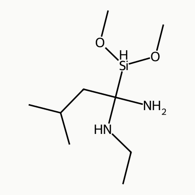 CCNC(N)(CC(C)C)[SiH](OC)OC